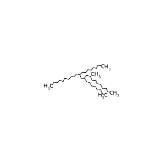 CCCCCCCCCCC(CCCCCCCC)CC(CCCCCCCC)CC(C)CCCCCCCC